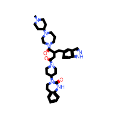 CN1CCC(N2CCCN(C(=O)C(CC(=O)N3CCC(N4CCc5ccccc5NC4=O)CC3)Cc3ccc4[nH]ncc4c3)CC2)CC1